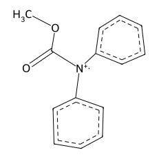 COC(=O)[N+](c1ccccc1)c1ccccc1